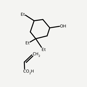 C=CC(=O)O.CCC1CC(O)CC(CC)(CC)C1